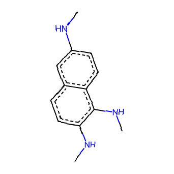 CNc1ccc2c(NC)c(NC)ccc2c1